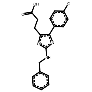 O=C(O)CCc1oc(NCc2ccccc2)nc1-c1ccc(Cl)cc1